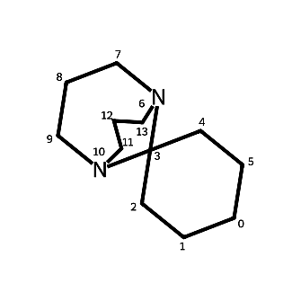 C1CCC2(CC1)N1CCCN2CCC1